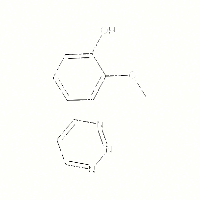 COc1ccccc1O.c1cnnnc1